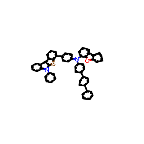 c1ccc(-c2ccc(-c3ccc(N(c4ccc(-c5cccc6c5sc5c6c6ccccc6n5-c5ccccc5)cc4)c4cccc5c4oc4ccccc45)cc3)cc2)cc1